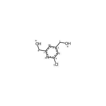 OCc1cc(Cl)nc(CO)c1